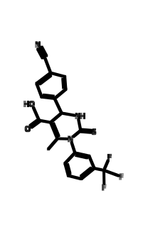 CC1=C(C(=O)O)C(c2ccc(C#N)cc2)NC(=S)N1c1cccc(C(F)(F)F)c1